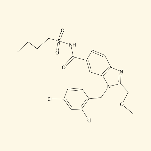 CCCCS(=O)(=O)NC(=O)c1ccc2nc(COC)n(Cc3ccc(Cl)cc3Cl)c2c1